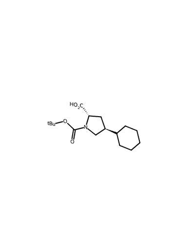 CC(C)(C)OC(=O)N1C[C@H](C2CCCCC2)C[C@H]1C(=O)O